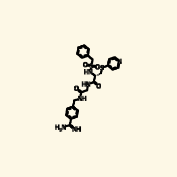 N=C(N)c1ccc(CNC(=O)CNC(=O)[C@@H](CSc2ccncc2)NS(=O)(=O)Cc2ccccc2)cc1